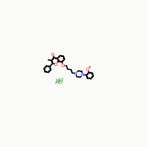 COc1ccccc1N1CCN(CCCCOc2cccc3c(=O)c(C)c(-c4ccccc4)oc23)CC1.Cl.Cl